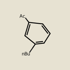 [CH2]C(=O)c1cccc(CCCC)c1